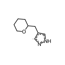 [c]1n[nH]cc1CC1CCCCO1